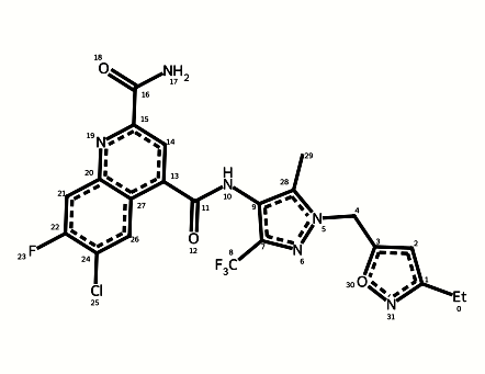 CCc1cc(Cn2nc(C(F)(F)F)c(NC(=O)c3cc(C(N)=O)nc4cc(F)c(Cl)cc34)c2C)on1